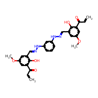 C=CC(=O)c1cc(OC)cc(C=NNc2cccc(NN=Cc3cc(OC)cc(C(=O)C=C)c3O)c2)c1O